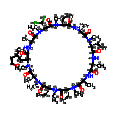 CC[C@H]1NC(=O)[C@@H]([C@@H]2OCC[C@H]2C)N(C)C(=O)[C@@H](C(C)C)N(C)C(=O)[C@@H](CC(C)C)N(C)C(=O)[C@@H](CC(C)C)N(C)C(=O)[C@H](C)NC(=O)[C@@H](C)NC(=O)[C@@H](CC(C)C)N(C)C(=O)[C@@H](C(C)C)NC(=O)[C@H](CC(C)C)N(C)C(=O)[C@@H](C(F)F)N(C)C1=O